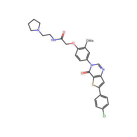 COc1cc(-n2cnc3cc(-c4ccc(Cl)cc4)sc3c2=O)ccc1OCC(=O)NCCN1CCCC1